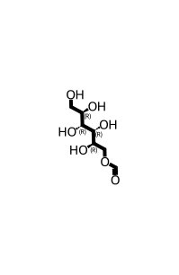 O=COC[C@@H](O)[C@@H](O)[C@H](O)[C@H](O)CO